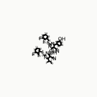 CCC(C)c1nc(SCc2cccc(F)c2F)nc(O)c1C#N.N#Cc1c(O)nc(SCc2cccc(F)c2F)nc1-c1cccc(O)c1